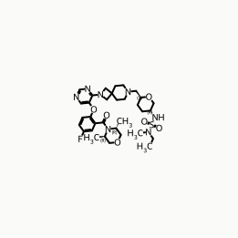 CCN(C)S(=O)(=O)N[C@@H]1CC[C@@H](CN2CCC3(CC2)CN(c2ncncc2Oc2ccc(F)cc2C(=O)N2[C@H](C)COC[C@H]2C)C3)OC1